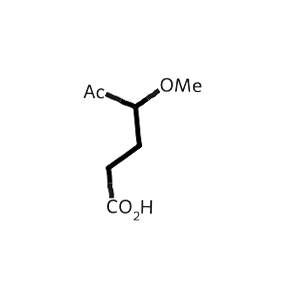 COC(CCC(=O)O)C(C)=O